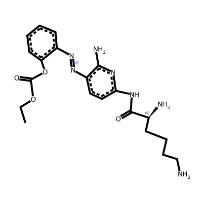 CCOC(=O)Oc1ccccc1/N=N/c1ccc(NC(=O)[C@@H](N)CCCCN)nc1N